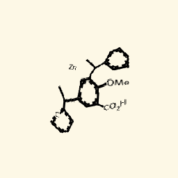 COc1c(C(=O)O)cc(C(C)c2ccccc2)cc1C(C)c1ccccc1.[Zn]